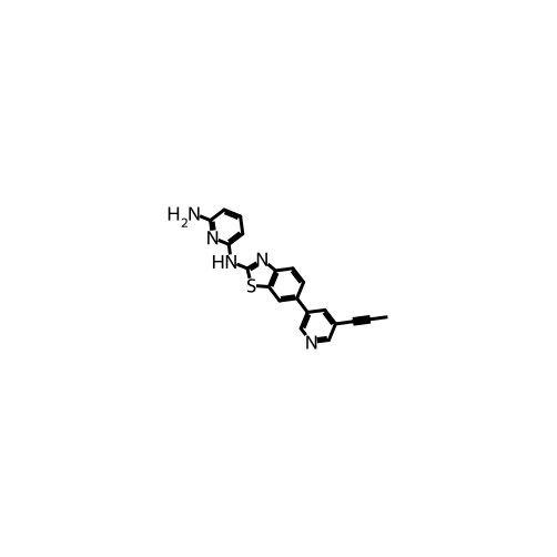 CC#Cc1cncc(-c2ccc3nc(Nc4cccc(N)n4)sc3c2)c1